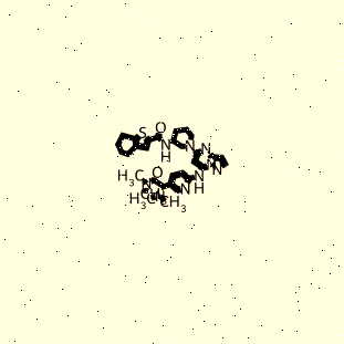 CN(C)C(=O)[C@H](c1ccc(Nc2cc(N3CCC[C@H](NC(=O)c4cc5c(s4)CCCC5)C3)nc3ccnn23)nc1)N(C)C